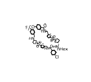 CCCCCCNC[C@H]1CCN(S(=O)(=O)c2ccc(CNC(=O)c3ccc(Cl)cc3)s2)C1.O=C(NCc1ccc(S(=O)(=O)N2CCC(NCc3ccc(C(F)(F)F)cc3)C2)s1)c1ccc(Cl)cc1